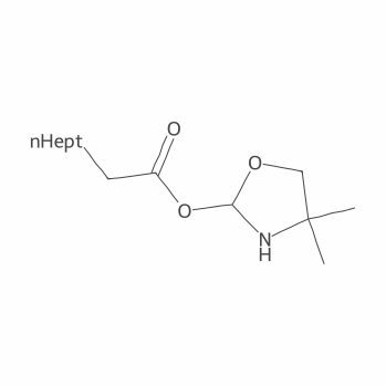 CCCCCCCCC(=O)OC1NC(C)(C)CO1